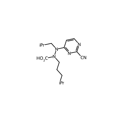 CC(C)CCCN(C(=O)O)N(CC(C)C)c1ccnc(C#N)n1